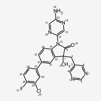 CC1(Cc2cncnc2)C(=O)N(c2cnc(N)cn2)c2ccc(-c3ccc(F)c(Cl)c3)cc21